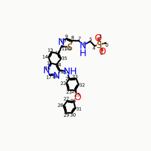 CS(=O)(=O)CCNCc1cnc(-c2ccc3ncnc(Nc4ccc(Oc5ccccc5)cc4)c3c2)s1